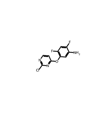 Nc1cc(Oc2ccnc(Cl)n2)c(F)cc1F